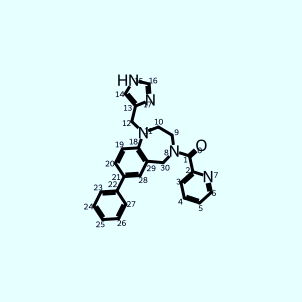 O=C(c1ccccn1)N1CCN(Cc2c[nH]cn2)c2ccc(-c3ccccc3)cc2C1